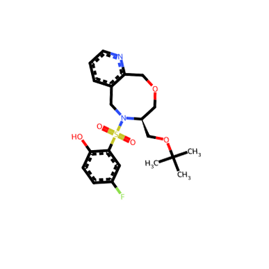 CC(C)(C)OC[C@@H]1COCc2ncccc2CN1S(=O)(=O)c1cc(F)ccc1O